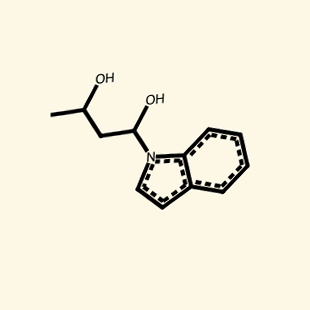 CC(O)CC(O)n1ccc2ccccc21